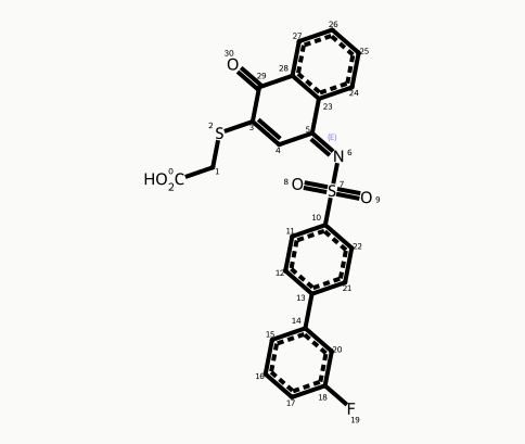 O=C(O)CSC1=C/C(=N\S(=O)(=O)c2ccc(-c3cccc(F)c3)cc2)c2ccccc2C1=O